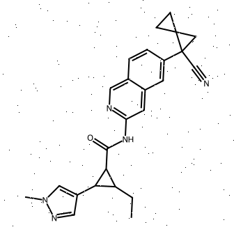 CCC1C(C(=O)Nc2cc3cc(C4(C#N)CC45CC5)ccc3cn2)C1c1cnn(C)c1